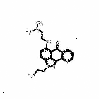 CN(C)CCNc1ccc2c3c(nn2CCN)-c2ncccc2C(=O)c13